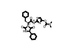 CN(C)C(=O)Oc1csc(NC(=O)[C@H](Cc2ccccc2)N2C(=O)NC(c3ccccc3)C2=O)n1